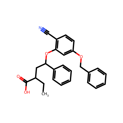 CCC(CC(Oc1cc(OCc2ccccc2)ccc1C#N)c1ccccc1)C(=O)O